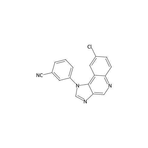 N#Cc1cccc(-n2cnc3cnc4ccc(Cl)cc4c32)c1